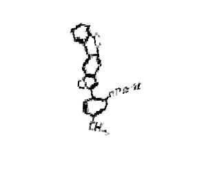 CCCCCc1cc(C)ccc1-c1cc2cc3oc4ccccc4c3cc2o1